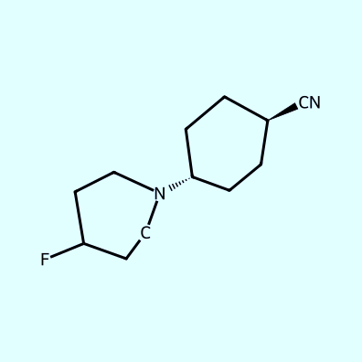 N#C[C@H]1CC[C@H](N2CCC(F)CC2)CC1